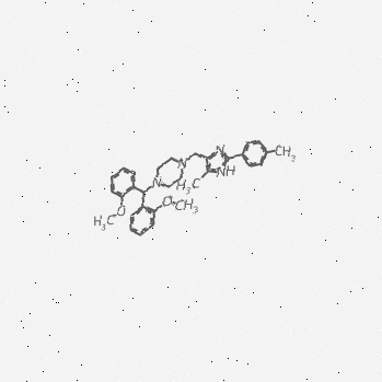 COc1ccccc1C(c1ccccc1OC)N1CCN(Cc2nc(-c3ccc(C)cc3)[nH]c2C)CC1